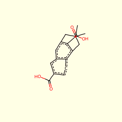 CC1(C)Cc2cc3cc(C(=O)O)ccc3c(c2C(=O)O)C1